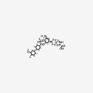 COc1cc(-c2ccc([C@@H](Oc3cc(N4CCC5(CC4)CN[C@H](C(=O)O)C5)nc(N)n3)C(F)(F)F)cc2)ccc1C